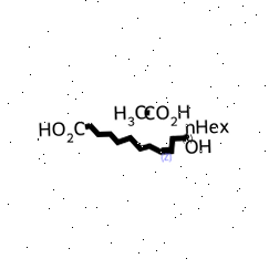 CC(=O)O.CCCCCC[C@@H](O)C/C=C\CCCCCCCC(=O)O